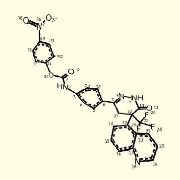 O=C(Nc1ccc(C2=NNC(=O)C(c3cccc4ncccc34)(C(F)(F)F)C2)cc1)Oc1ccc([N+](=O)[O-])cc1